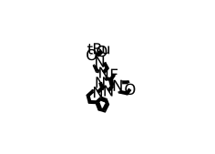 CC(C)(C)OC(=O)N1CCN(c2nc(N3CCCc4ccccc43)nc(N3CCOCC3)c2F)CC1